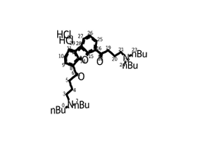 CCCCN(CCCC)CCCC(=O)c1cccc2c1oc1c(C(=O)CCCN(CCCC)CCCC)cccc12.Cl.Cl